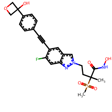 CC(CCn1cc2cc(C#Cc3ccc(C4(O)COC4)cc3)c(F)cc2n1)(C(=O)NO)S(C)(=O)=O